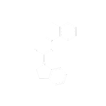 NC(=NC(=O)c1ccccc1Cl)N1CCc2ccccc21